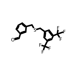 O=Cc1cccc(CSCc2cc(C(F)(F)F)cc(C(F)(F)F)c2)c1